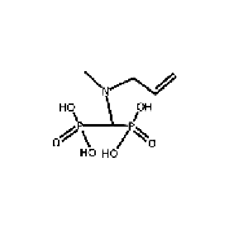 C=CCN(C)C(P(=O)(O)O)P(=O)(O)O